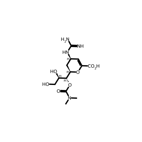 CN(C)C(=O)O[C@H]([C@H](O)CO)[C@H]1C[C@@H](NC(=N)N)C=C(C(=O)O)O1